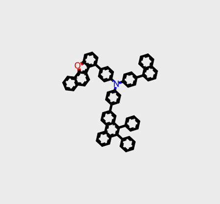 c1ccc(-c2c(-c3ccccc3)c3cc(-c4ccc(N(c5ccc(-c6cccc7ccccc67)cc5)c5ccc(-c6cccc7oc8c9ccccc9ccc8c67)cc5)cc4)ccc3c3ccccc23)cc1